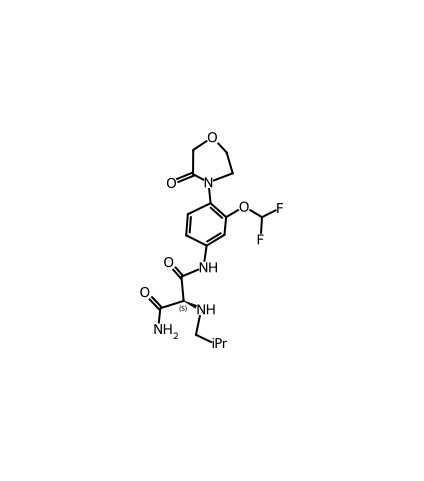 CC(C)CN[C@@H](C(N)=O)C(=O)Nc1ccc(N2CCOCC2=O)c(OC(F)F)c1